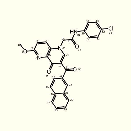 COc1ccc2c(n1)c(=O)c(C(=O)c1ccc3ccccc3c1)cn2CC(=O)Nc1ccc(Cl)cc1